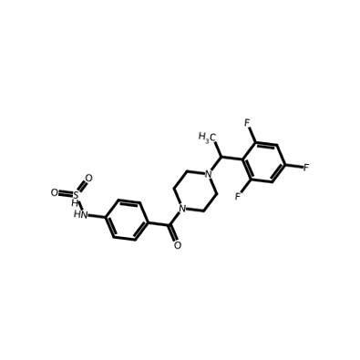 CC(c1c(F)cc(F)cc1F)N1CCN(C(=O)c2ccc(N[SH](=O)=O)cc2)CC1